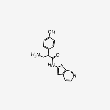 NCC(C(=O)Nc1cc2ccncc2s1)c1ccc(O)cc1